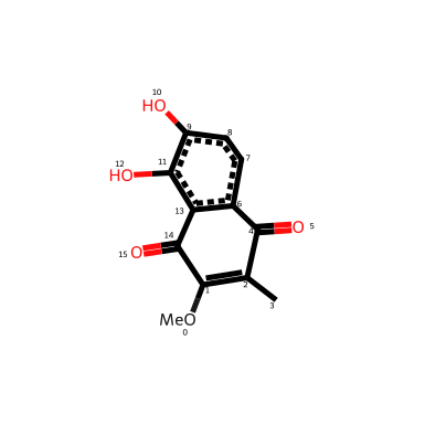 COC1=C(C)C(=O)c2ccc(O)c(O)c2C1=O